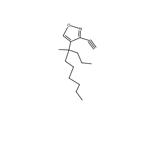 C#Cc1nocc1C(C)(CCC)CCCCCC